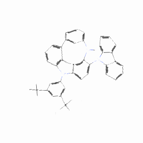 CN1c2cccc(c2)-c2cccc3c2c2c1c(-n1c4ccccc4c4ccccc41)ccc2n3-c1cc(C(C)(C)C)cc(C(C)(C)C)c1